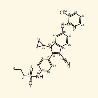 CCCS(=O)(=O)Nc1ccc(-c2c(C#N)c3ccc(Oc4ncccc4Cl)cc3n2C2CC2)cc1